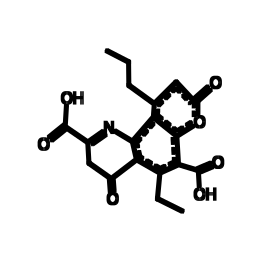 CCCc1cc(=O)oc2c(C(=O)O)c(CC)c3c(c12)N=C(C(=O)O)CC3=O